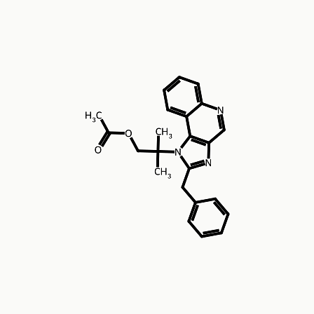 CC(=O)OCC(C)(C)n1c(Cc2ccccc2)nc2cnc3ccccc3c21